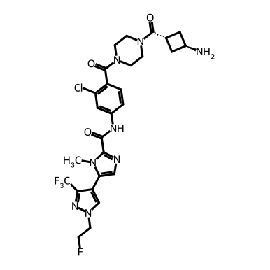 Cn1c(-c2cn(CCF)nc2C(F)(F)F)cnc1C(=O)Nc1ccc(C(=O)N2CCN(C(=O)[C@H]3C[C@H](N)C3)CC2)c(Cl)c1